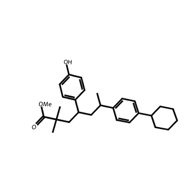 COC(=O)C(C)(C)CC(CC(C)c1ccc(C2CCCCC2)cc1)c1ccc(O)cc1